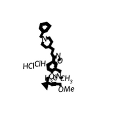 COCC#CC1(COc2ccc3c(CCC4CCN(Cc5ccccc5)CC4)noc3c2CN(C)C)CC1.Cl.Cl